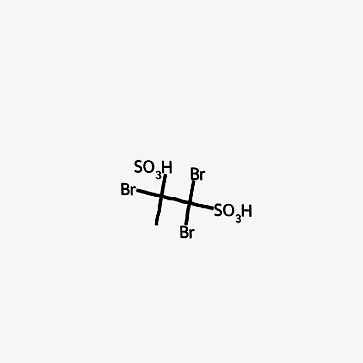 CC(Br)(C(Br)(Br)S(=O)(=O)O)S(=O)(=O)O